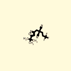 CC(C)(C)c1cc(CC(C#N)(C#N)CCC(F)(F)F)no1